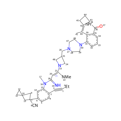 CCC#Cc1ccc(C2(C#N)CC3(CC3)C2)cc1N(C)C(=N)/C=C(\NC)N1CC(CN2CCN(c3cccc(C(=O)CCC)c3C(C)=C3CCC3)CC2)C1